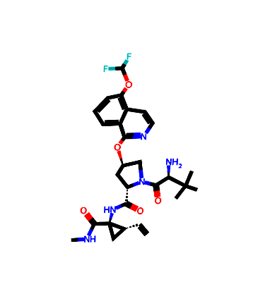 C=C[C@@H]1C[C@]1(NC(=O)[C@@H]1C[C@@H](Oc2nccc3c(OC(F)F)cccc23)CN1C(=O)[C@@H](N)C(C)(C)C)C(=O)NC